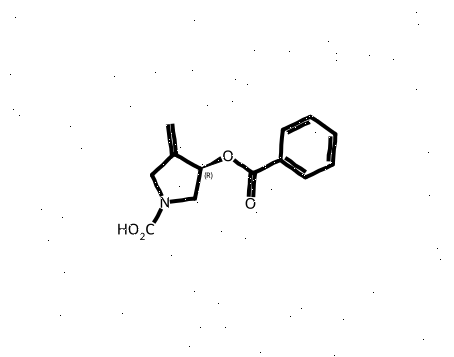 C=C1CN(C(=O)O)C[C@@H]1OC(=O)c1ccccc1